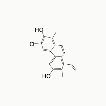 C=Cc1c(C)c(O)cc2c1ccc1c(C)c(O)c(Cl)cc12